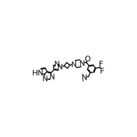 CN(C)Cc1cc(C(=O)N2CCN(C3CC(n4cc(-c5ncnc6[nH]ccc56)cn4)C3)CC2)cc(C(F)F)c1